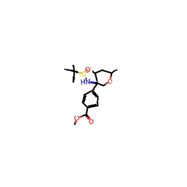 COC(=O)c1ccc(C2(N[S+]([O-])C(C)(C)C)COC(C)CC2C)cc1